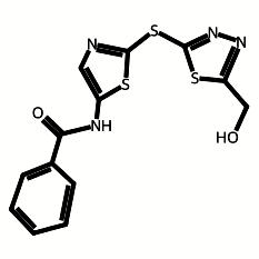 O=C(Nc1cnc(Sc2nnc(CO)s2)s1)c1ccccc1